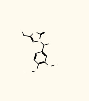 COc1ccc(C(C)n2cc(CO)oc2=O)cc1OC